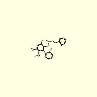 COc1cc2c(c(-c3ccccc3Cl)c1OC)CN(CCc1ccccc1)CC2